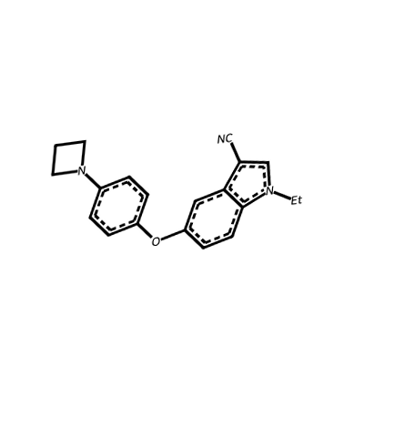 CCn1cc(C#N)c2cc(Oc3ccc(N4CCC4)cc3)ccc21